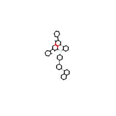 c1cc(-c2ccc(N(c3ccccc3-c3ccc4sc5ccccc5c4c3)c3cccc4c3oc3ccccc34)cc2)cc(-c2cccc3ccccc23)c1